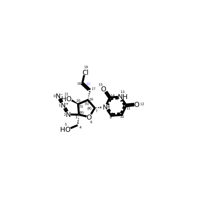 [N-]=[N+]=N[C@]1(CO)O[C@@H](n2ccc(=O)[nH]c2=O)[C@@H](/C=C/Cl)[C@@H]1O